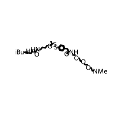 CCC(C)C#CCNC(=O)NCCCCOC(C)SSc1ccc(CC(=O)NCCOCCOCCOCCNC)cc1